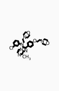 Cc1nccn2c(N(CCN3CCOCC3)c3cccc(Cl)c3)c(-c3ccc(OCCN4CCOCC4)cc3)nc12